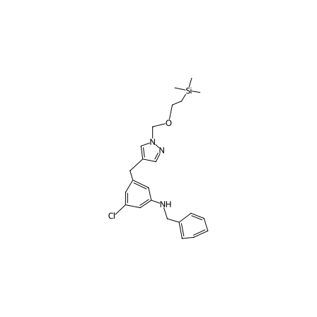 C[Si](C)(C)CCOCn1cc(Cc2cc(Cl)cc(NCc3ccccc3)c2)cn1